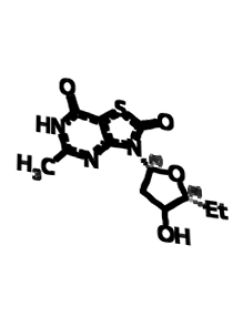 CC[C@H]1O[C@@H](n2c(=O)sc3c(=O)[nH]c(C)nc32)CC1O